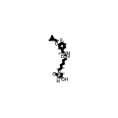 C[C@@H](NS(=O)(=O)CCCCCCN1CC(O)NC1=O)c1ccc(F)c(OCC2CC2)c1